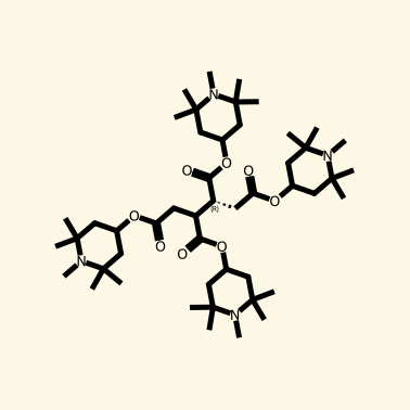 CN1C(C)(C)CC(OC(=O)CC(C(=O)OC2CC(C)(C)N(C)C(C)(C)C2)[C@@H](CC(=O)OC2CC(C)(C)N(C)C(C)(C)C2)C(=O)OC2CC(C)(C)N(C)C(C)(C)C2)CC1(C)C